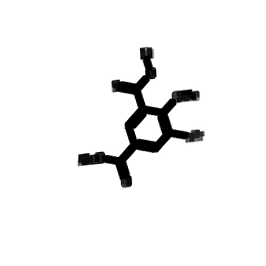 CCCc1cc(C(=O)OC)cc(C(=S)OCC)c1OC